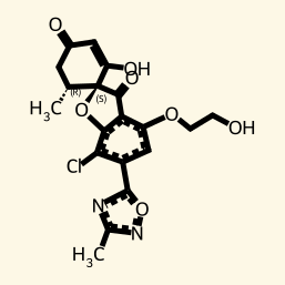 Cc1noc(-c2cc(OCCO)c3c(c2Cl)O[C@]2(C3=O)C(O)=CC(=O)C[C@H]2C)n1